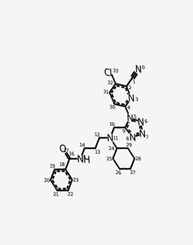 N#Cc1nc(-n2nnnc2CN(CCCNC(=O)c2ccccc2)C2CCCCC2)ccc1Cl